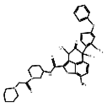 Cc1cc(Oc2ccccc2)ccc1C1(N)C(=O)C(N)c2c(C(=O)NC3CCCN(C(=O)CN4CCCCC4)C3)sc3c(N)ccc1c23